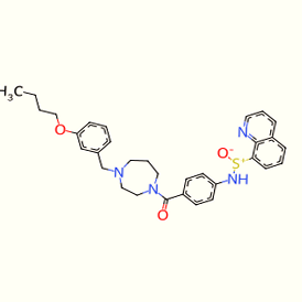 CCCCOc1cccc(CN2CCCN(C(=O)c3ccc(N[S+]([O-])c4cccc5cccnc45)cc3)CC2)c1